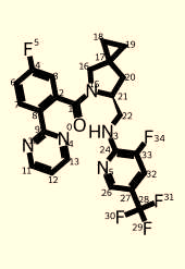 O=C(c1cc(F)ccc1-c1ncccn1)N1CC2(CC2)C[C@H]1CNc1ncc(C(F)(F)F)cc1F